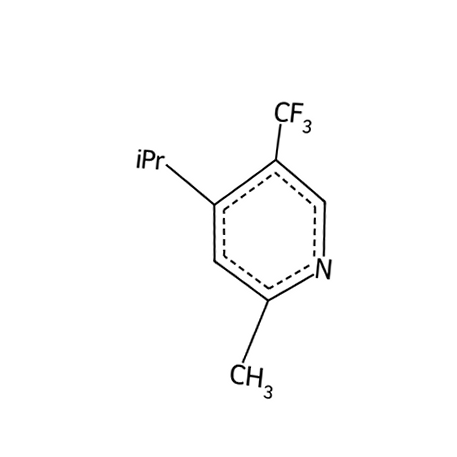 Cc1cc(C(C)C)c(C(F)(F)F)cn1